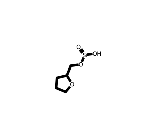 O=[Si](O)OCC1CCCO1